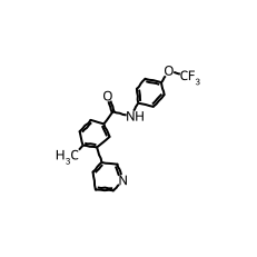 Cc1ccc(C(=O)Nc2ccc(OC(F)(F)F)cc2)cc1-c1cccnc1